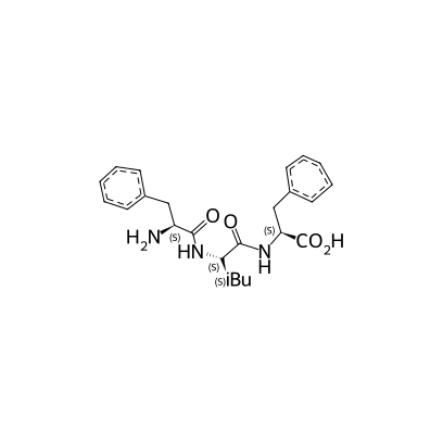 CC[C@H](C)[C@H](NC(=O)[C@@H](N)Cc1ccccc1)C(=O)N[C@@H](Cc1ccccc1)C(=O)O